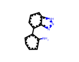 Nc1ccccc1-c1cccc2[nH]nnc12